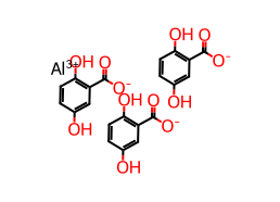 O=C([O-])c1cc(O)ccc1O.O=C([O-])c1cc(O)ccc1O.O=C([O-])c1cc(O)ccc1O.[Al+3]